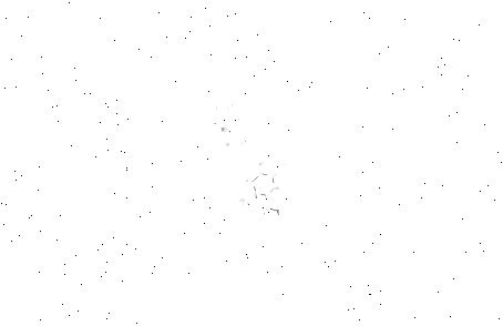 COc1cc(C(=O)O)c(N)cc1OCCCN1CCCC1